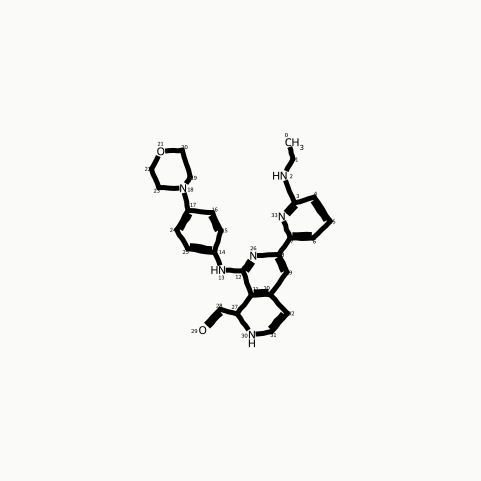 CCNc1cccc(-c2cc3c(c(Nc4ccc(N5CCOCC5)cc4)n2)C(C=O)NC=C3)n1